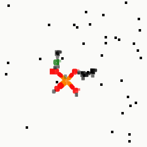 O=P([O-])([O-])O.[Cl-].[K+].[K+].[Na+]